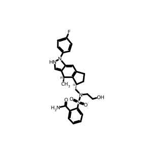 C[C@H]1C2=CNN(c3ccc(F)cc3)C2=CC2=C1[C@@H](CN(CCO)S(=O)(=O)c1ccccc1C(N)=O)CC2